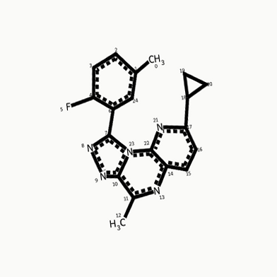 Cc1ccc(F)c(-c2nnc3c(C)nc4ccc(C5CC5)nc4n23)c1